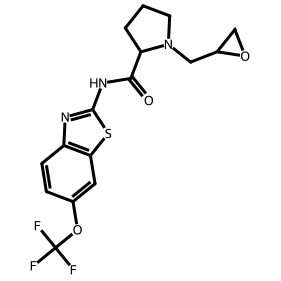 O=C(Nc1nc2ccc(OC(F)(F)F)cc2s1)C1CCCN1CC1CO1